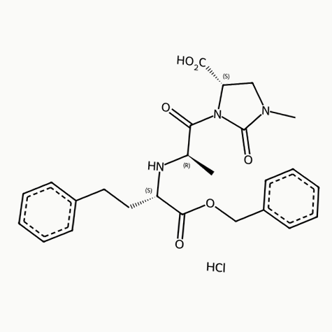 C[C@@H](N[C@@H](CCc1ccccc1)C(=O)OCc1ccccc1)C(=O)N1C(=O)N(C)C[C@H]1C(=O)O.Cl